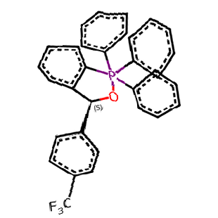 FC(F)(F)c1ccc([C@@H]2OP(c3ccccc3)(c3ccccc3)(c3ccccc3)c3ccccc32)cc1